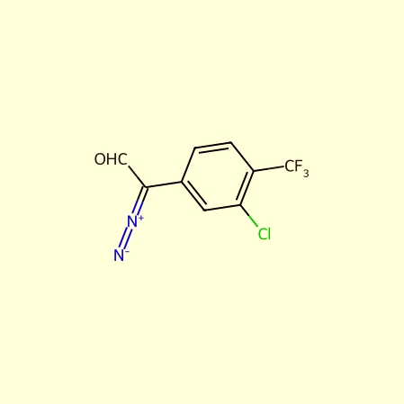 [N-]=[N+]=C(C=O)c1ccc(C(F)(F)F)c(Cl)c1